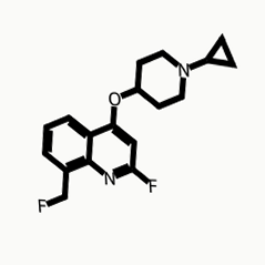 FCc1cccc2c(OC3CCN(C4CC4)CC3)cc(F)nc12